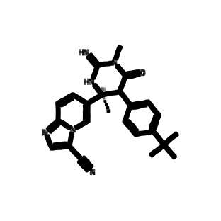 CN1C(=N)N[C@](C)(c2ccc3ncc(C#N)n3c2)C(c2ccc(C(C)(C)C)cc2)C1=O